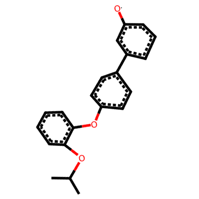 CC(C)Oc1ccccc1Oc1ccc(-c2cccc([O])c2)cc1